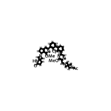 COc1nc(-c2cccc(-c3cccc(-c4cc5c(c(OC)n4)[C@@H](N4CC6(CCC(=O)N6)C4)CC5)c3C)c2F)cnc1CN1CC2(C1)CN(C(C)=O)C2